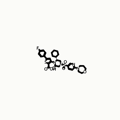 O=C(O)c1sc(-c2ccc(F)cc2)cc1N1C(=O)CN(S(=O)(=O)c2ccc(N3CCCOCC3)nc2)C[C@H]1C1CCCCC1